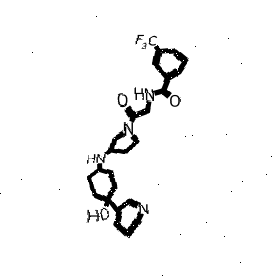 O=C(NCC(=O)N1CCC(NC2CCC(O)(c3cccnc3)CC2)C1)c1cccc(C(F)(F)F)c1